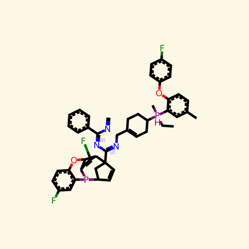 C=N/C(=N\C(=N/CC1=CCC([PH](C)(CC)c2cc(C)ccc2Oc2ccc(F)cc2)CC1)C12C=CC(C1)P1c3cc(F)ccc3OC3C1C=C(F)C32)c1ccccc1